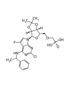 CC(Nc1nc(Cl)nc2c1c(F)cn2[C@@H]1O[C@H](COCP(=O)(O)O)[C@H]2OC(C)(C)O[C@H]21)c1ccccc1